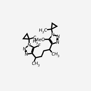 COc1c(C(C)CCC(C)c2nnn(C3(C)CC3)c2F)nnn1C1(C)CC1